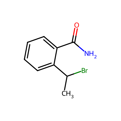 CC(Br)c1ccccc1C(N)=O